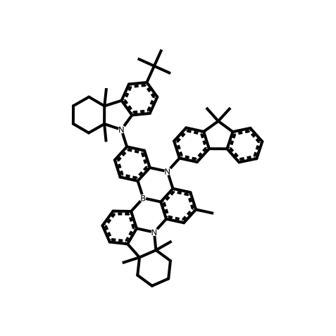 Cc1cc2c3c(c1)N1c4c(cccc4C4(C)CCCCC14C)B3c1ccc(N3c4ccc(C(C)(C)C)cc4C4(C)CCCCC34C)cc1N2c1ccc2c(c1)-c1ccccc1C2(C)C